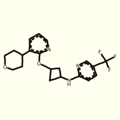 FC(F)(F)c1ccc(NC2CC(Oc3ncccc3C3CCOCC3)C2)nc1